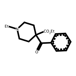 CCOC(=O)C1(C(=O)c2ccccc2)CCN(CC)CC1